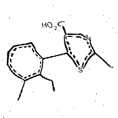 Cc1nc(C(=O)O)c(-c2cccc(C)c2C)s1